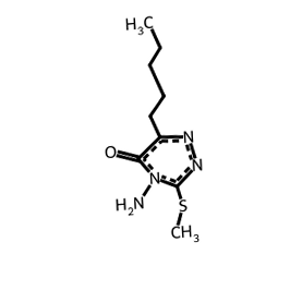 CCCCCc1nnc(SC)n(N)c1=O